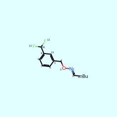 CCCC/[C]=N/OCc1cccc(C(F)F)c1